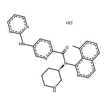 Cc1cccc2ccnc(N(C(=O)c3ccc(Nc4ncccn4)cn3)[C@@H]3CCCNC3)c12.Cl